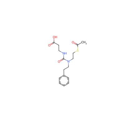 CC(=O)SCCN(CCc1ccccc1)C(=O)NCCC(=O)O